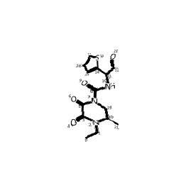 CCN1C(=O)C(=O)N(C(=O)NC([C]=O)c2cccs2)C[C@H]1C